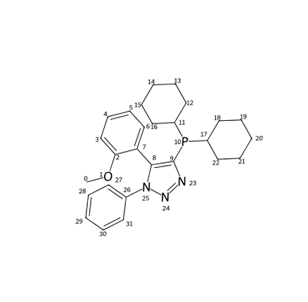 COc1ccccc1-c1c(P(C2CCCCC2)C2CCCCC2)nnn1-c1ccccc1